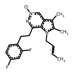 C/C=C/Cn1c(C)c(C)c2c[n+]([O-])nc(CCc3ccc(F)cc3F)c21